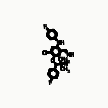 CC(C)(N)C(Oc1cc(C=N)c(Nc2ccc(F)cc2)cc1Cl)c1ccc(F)cc1